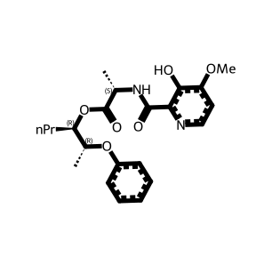 CCC[C@@H](OC(=O)[C@H](C)NC(=O)c1nccc(OC)c1O)[C@@H](C)Oc1ccccc1